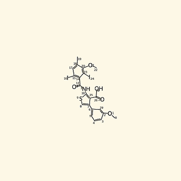 COc1cccc(-c2csc(NC(=O)c3c(I)cc(I)c(OC)c3I)c2C(=O)O)c1